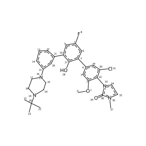 COc1cc(-c2cc(F)cc(-c3cccc(N4CCN(C(C)(C)C)CC4)c3)c2O)cc(Cl)c1-n1ccn(C)c1=O